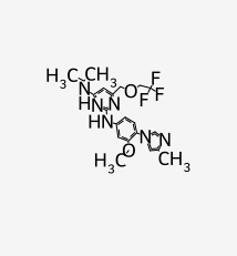 COc1cc(Nc2nc(COCC(F)(F)F)cc(NC(C)C)n2)ccc1-n1cnc(C)c1